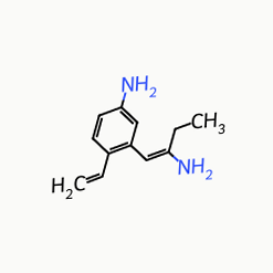 C=Cc1ccc(N)cc1/C=C(/N)CC